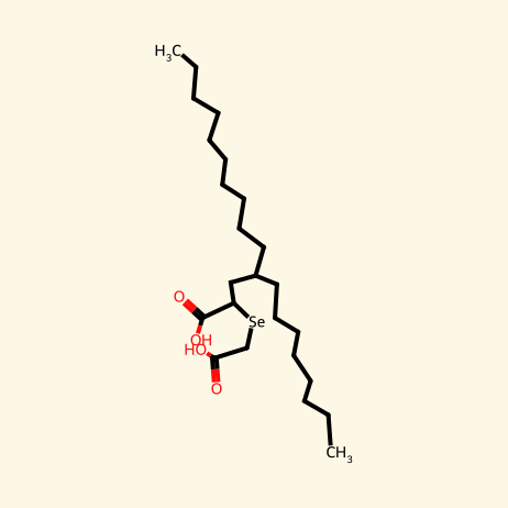 CCCCCCCCCCC(CCCCCCCC)CC([Se]CC(=O)O)C(=O)O